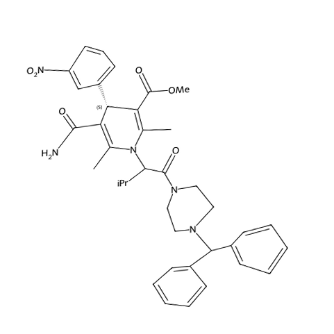 COC(=O)C1=C(C)N(C(C(=O)N2CCN(C(c3ccccc3)c3ccccc3)CC2)C(C)C)C(C)=C(C(N)=O)[C@@H]1c1cccc([N+](=O)[O-])c1